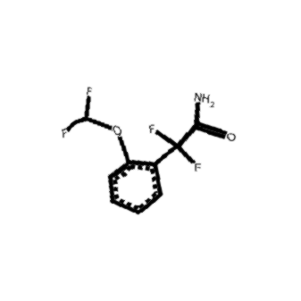 NC(=O)C(F)(F)c1ccccc1OC(F)F